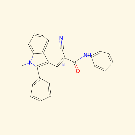 Cn1c(-c2ccccc2)c(/C=C(\C#N)C(=O)Nc2ccccc2)c2ccccc21